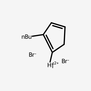 CCCCC1=[C]([Hf+2])CC=C1.[Br-].[Br-]